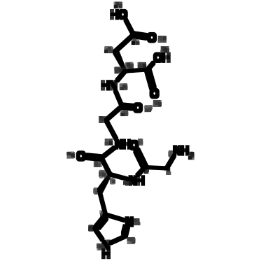 NCC(=O)N[C@@H](Cc1c[nH]cn1)C(=O)NCC(=O)N[C@@H](CC(=O)O)C(=O)O